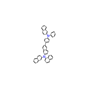 c1ccc(N(c2ccc(-c3ccc4cc(N(c5ccc6ccccc6c5)c5cccc6ccccc56)ccc4c3)cc2)c2ccc3ccccc3c2)cc1